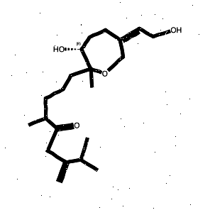 C=C(CC(=O)C(C)CCCC1(C)OCC(=CCO)CC[C@H]1O)C(C)C